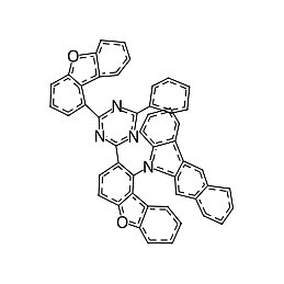 c1ccc(-c2nc(-c3ccc4oc5ccccc5c4c3-n3c4ccccc4c4cc5ccccc5cc43)nc(-c3cccc4oc5ccccc5c34)n2)cc1